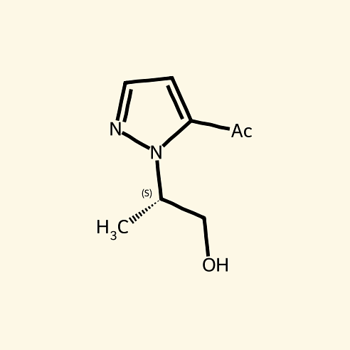 CC(=O)c1ccnn1[C@@H](C)CO